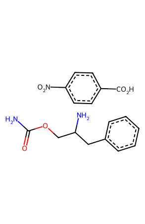 NC(=O)OCC(N)Cc1ccccc1.O=C(O)c1ccc([N+](=O)[O-])cc1